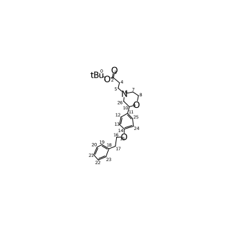 CC(C)(C)OC(=O)CCN1CCOC(c2ccc(OCCc3ccccc3)cc2)C1